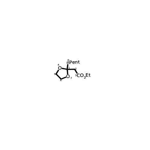 CCCCCC1(CC(=O)OCC)OCCO1